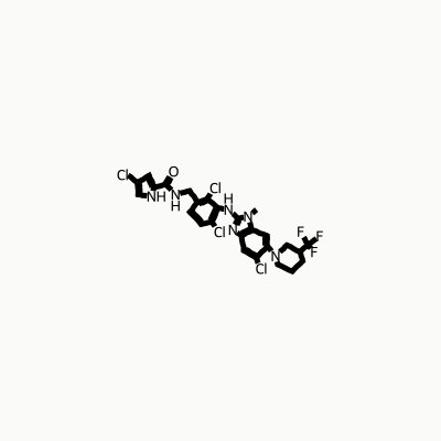 Cn1c(Nc2c(Cl)ccc(CNC(=O)c3cc(Cl)c[nH]3)c2Cl)nc2cc(Cl)c(N3CCCC(C(F)(F)F)C3)cc21